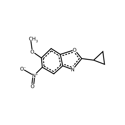 COc1cc2oc(C3CC3)nc2cc1[N+](=O)[O-]